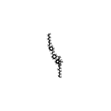 CCCCCCCCOc1ccc([C@H]2CC[C@H](CC[C@H]3CC[C@H](CCCCCCCC)CC3)CC2)c(F)c1F